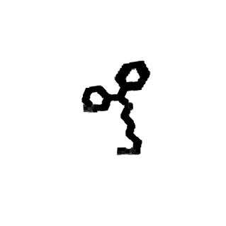 COCCCCOC(c1ccccc1)C1CCCNC1